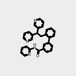 O=C(Nc1ccccn1)c1cccc(-c2ccccc2CC(c2cccnc2)c2cccnc2)c1